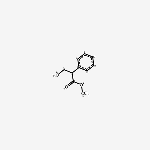 O=C(OC(Cl)(Cl)Cl)C(CO)c1ccccc1